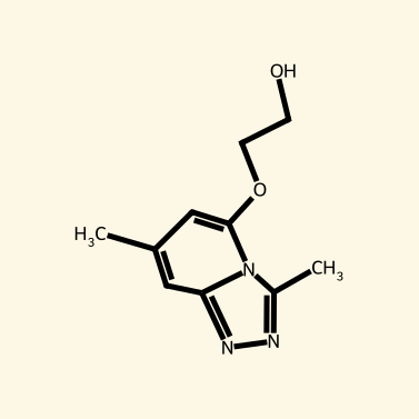 Cc1cc(OCCO)n2c(C)nnc2c1